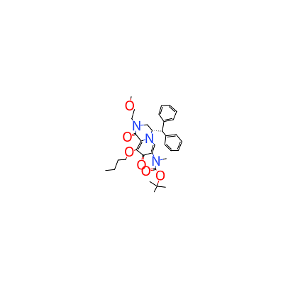 CCCCOc1c2n(cc(N(C)C(=O)OC(C)(C)C)c1=O)[C@@H](C(c1ccccc1)c1ccccc1)CN(CCOC)C2=O